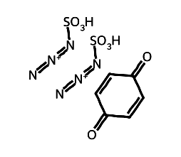 O=C1C=CC(=O)C=C1.[N-]=[N+]=NS(=O)(=O)O.[N-]=[N+]=NS(=O)(=O)O